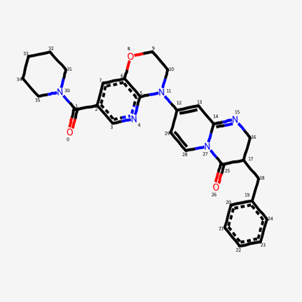 O=C(c1cnc2c(c1)OCCN2C1=CC2=NCC(Cc3ccccc3)C(=O)N2C=C1)N1CCCCC1